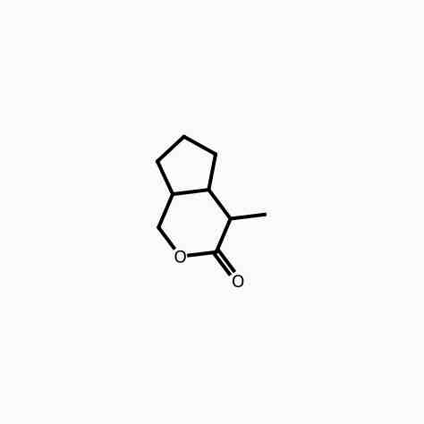 CC1C(=O)OCC2CCCC21